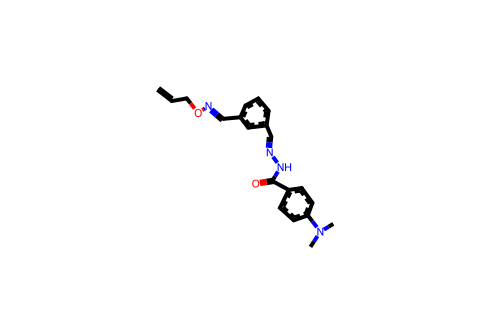 C=CCO/N=C/c1cccc(/C=N/NC(=O)c2ccc(N(C)C)cc2)c1